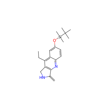 C=C1NCc2c1nc1ccc(O[Si](C)(C)C(C)(C)C)cc1c2CC